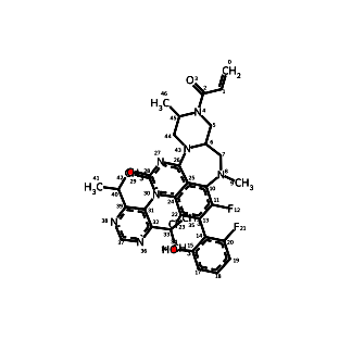 C=CC(=O)N1CC2CN(C)c3c(F)c(-c4c(O)cccc4F)c(Cl)c4c3c(nc(=O)n4-c3c(C(C)C)ncnc3C(C)C)N2CC1C